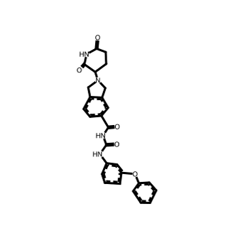 O=C1CCC(N2Cc3ccc(C(=O)NC(=O)Nc4cccc(Oc5ccccc5)c4)cc3C2)C(=O)N1